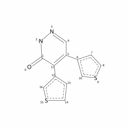 O=C1[N]N=CC(c2ccsc2)=C1c1ccsc1